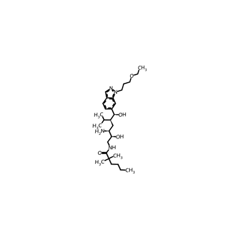 CCCCC(C)(C)C(=O)NC[C@H](O)[C@@H](N)C[C@@H](C(C)C)[C@H](O)c1ccc2cnn(CCCOCC)c2c1